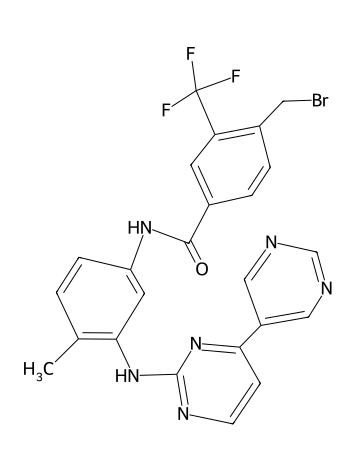 Cc1ccc(NC(=O)c2ccc(CBr)c(C(F)(F)F)c2)cc1Nc1nccc(-c2cncnc2)n1